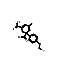 CC1=CC(C(=O)O)(c2ccc(CCBr)cc2)CC(C(=O)O)=C1